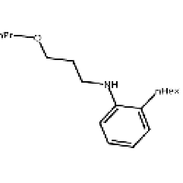 CCCCCCc1ccccc1NCCCOCCC